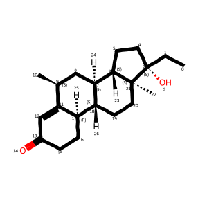 CC[C@]1(O)CC[C@H]2[C@@H]3C[C@H](C)C4=CC(=O)CC[C@@H]4[C@H]3CC[C@@]21C